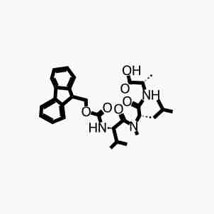 CC(C)C[C@@H](C(=O)N[C@@H](C)C(=O)O)N(C)C(=O)[C@@H](NC(=O)OCC1c2ccccc2-c2ccccc21)C(C)C